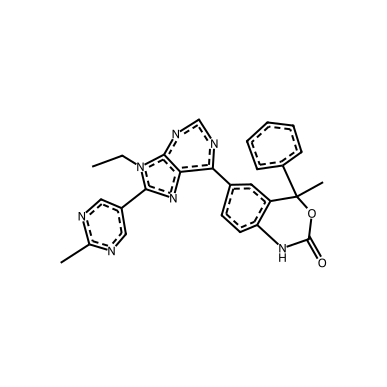 CCn1c(-c2cnc(C)nc2)nc2c(-c3ccc4c(c3)C(C)(c3ccccc3)OC(=O)N4)ncnc21